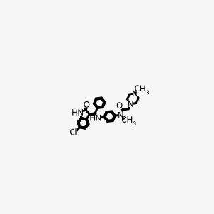 CN1CCN(CC(=O)N(C)c2ccc(NC(=C3C(=O)Nc4cc(Cl)ccc43)c3ccccc3)cc2)CC1